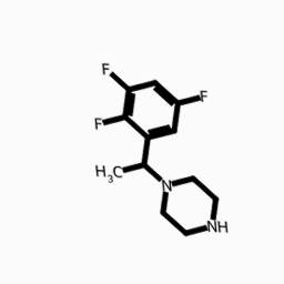 CC(c1cc(F)cc(F)c1F)N1CCNCC1